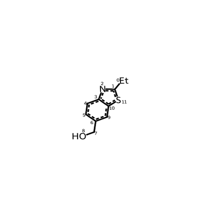 CCc1nc2ccc(CO)cc2s1